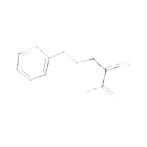 C=C(CCCc1ccccc1)C(=O)Cl